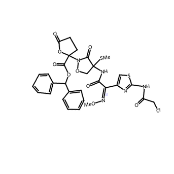 CO/N=C(\C(=O)NC1(SC)CON(C2(C(=O)OC(c3ccccc3)c3ccccc3)CCC(=O)O2)C1=O)c1csc(NC(=O)CCl)n1